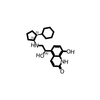 O=c1ccc2c([C@@H](O)CN[C@H]3CCC[C@H]3C3CCCCC3)ccc(O)c2[nH]1